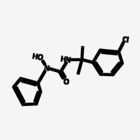 CC(C)(NC(=O)N(O)c1ccccc1)c1cccc(Cl)c1